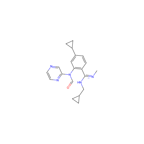 C/N=C(/NCC1CC1)c1ccc(C2CC2)cc1N(C=O)c1cnccn1